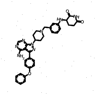 Nc1ncnc2c1c(-c1ccc(Oc3ccccc3)cc1)nn2C1CCN(Cc2cccc(NC3CCC(=O)NC3=O)c2)CC1